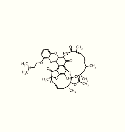 CC(=O)OC1C2C[C@H](C)CC(C)/C=C/C=C(/C)C(=O)Nc3c4oc5cccc(OCCN(C)C)c5nc-4c4c5c(c(C)c(c4c3=O)O2)O[C@](C)(O/C=C/C[C@H]1C)C5=O